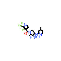 Cc1ccnc(N2NNC3=C2CCN(C(=O)c2ccnc(C(F)(F)F)c2F)C3C)c1